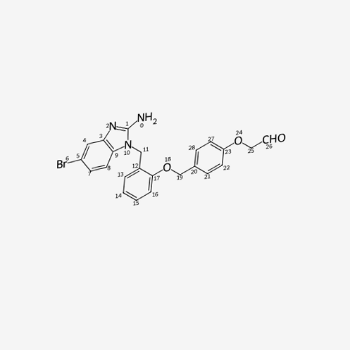 Nc1nc2cc(Br)ccc2n1Cc1ccccc1OCc1ccc(OCC=O)cc1